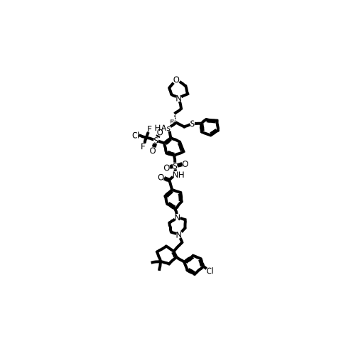 CC1(C)CCC(CN2CCN(c3ccc(C(=O)NS(=O)(=O)c4ccc([AsH][C@H](CCN5CCOCC5)CSc5ccccc5)c(S(=O)(=O)C(F)(F)Cl)c4)cc3)CC2)=C(c2ccc(Cl)cc2)C1